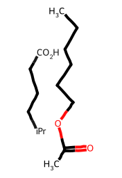 CC(C)CCCC(=O)O.CCCCCCOC(C)=O